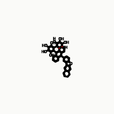 Oc1cc(-c2c(O)c(O)c(O)c(O)c2-c2c3ccccc3c(-c3ccc4oc5cc6c(cc5c4c3)C=CCC6)c3ccccc23)c(O)c(O)c1O